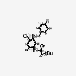 Cc1cc(Cl)c(NCc2ccc(F)cc2)cc1NC(=O)CC(C)(C)C